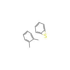 Cc1ccccc1C.c1ccc2c(c1)S2